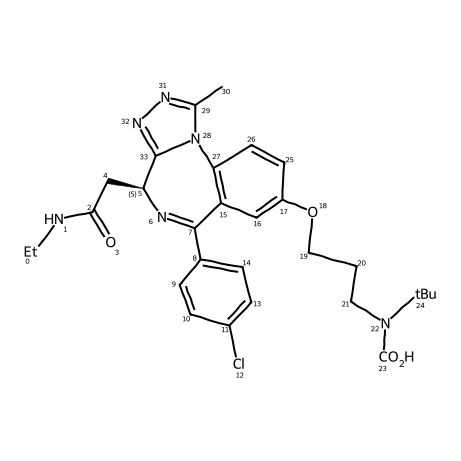 CCNC(=O)C[C@@H]1N=C(c2ccc(Cl)cc2)c2cc(OCCCN(C(=O)O)C(C)(C)C)ccc2-n2c(C)nnc21